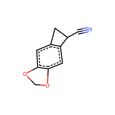 N#CC1Cc2cc3c(cc21)OCO3